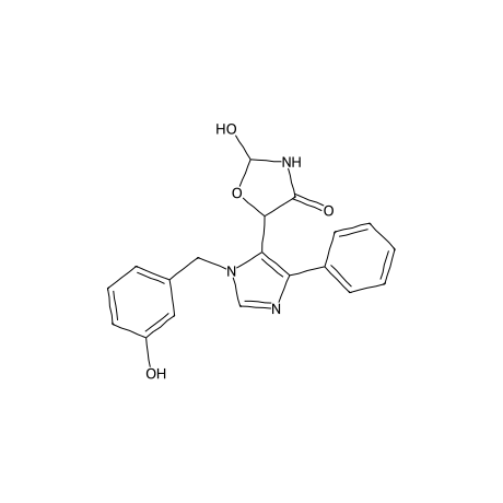 O=C1NC(O)OC1c1c(-c2ccccc2)ncn1Cc1cccc(O)c1